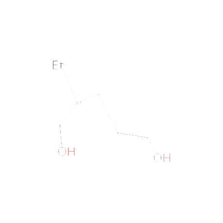 CC[C](CO)CCCO